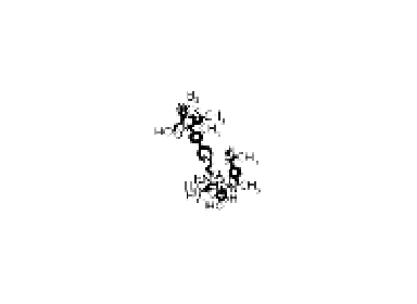 Cc1ncsc1-c1ccc([C@H](C)NC(=O)[C@@H]2C[C@@H](O)CN2C(=O)[C@@H](NC(=O)CCN2CC=C(c3ccc(C4=N[C@@H](CC(=O)O)c5nnc(C)n5-c5sc(C)c(C)c54)cc3)CC2)C(C)(C)C)cc1